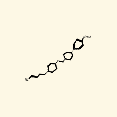 CCCCCc1ccc([C@H]2CC[C@H](CO[C@H]3CC[C@H](CCC=CC#N)CC3)CC2)cc1